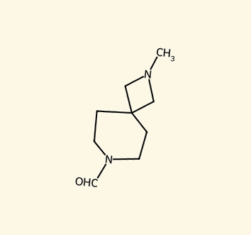 CN1CC2(CCN(C=O)CC2)C1